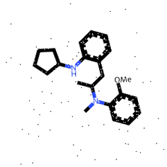 COc1ccccc1N(C)C(C)Cc1ccccc1NC1CCCC1